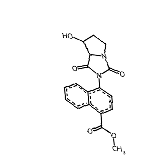 COC(=O)c1ccc(N2C(=O)C3C(O)CCN3C2=O)c2ccccc12